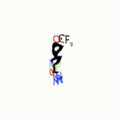 O=C(Cn1cnnn1)C(F)(F)c1ccc(-c2ccc(OC(F)(F)F)cc2)cn1